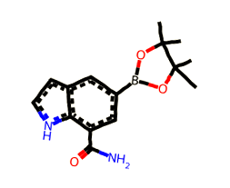 CC1(C)OB(c2cc(C(N)=O)c3[nH]ccc3c2)OC1(C)C